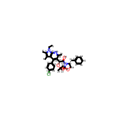 CCn1c(C)c(C)c2c(-c3ccc(Cl)cc3)c([C@@H](OC(C)(C)C)C(=O)N3C(=O)OC[C@H]3Cc3ccccc3)c(C)nc21